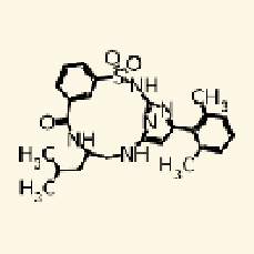 Cc1cccc(C)c1-c1cc2nc(n1)NS(=O)(=O)c1cccc(c1)C(=O)NC(CC(C)C)CN2